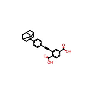 O=C(O)c1ccc(C(=O)O)c(C#Cc2ccc(C34CC5CC(CC(C5)C3)C4)cc2)c1